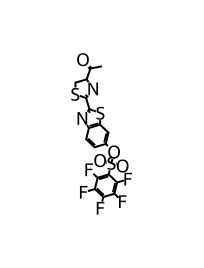 CC(=O)C1CSC(c2nc3ccc(OS(=O)(=O)c4c(F)c(F)c(F)c(F)c4F)cc3s2)=N1